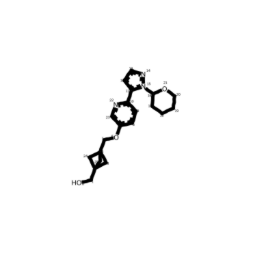 OCC12CC(COc3ccc(-c4ccnn4C4CCCCO4)nc3)(C1)C2